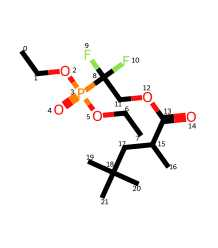 CCOP(=O)(OCC)C(F)(F)COC(=O)C(C)CC(C)(C)C